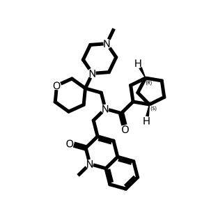 CN1CCN(C2(CN(Cc3cc4ccccc4n(C)c3=O)C(=O)C3C[C@@H]4CC[C@H]3C4)CCCOC2)CC1